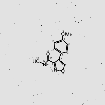 COc1ccc(-c2conc2C(=O)NO)cc1